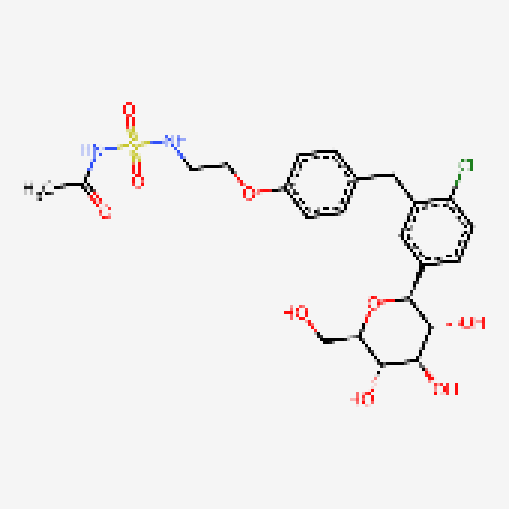 CC(=O)NS(=O)(=O)NCCOc1ccc(Cc2cc([C@@H]3O[C@H](CO)[C@@H](O)[C@H](O)[C@H]3O)ccc2Cl)cc1